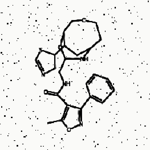 Cc1onc(-c2ccccc2)c1C(=O)NCC1NC2CCCCC(O1)C(C1CN=CS1)C2